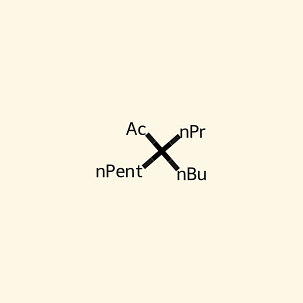 CCCCCC(CCC)(CCCC)C(C)=O